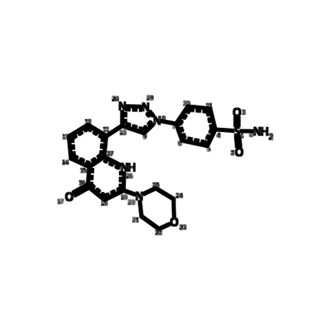 NS(=O)(=O)c1ccc(-n2cc(-c3cccc4c(=O)cc(N5CCOCC5)[nH]c34)nn2)cc1